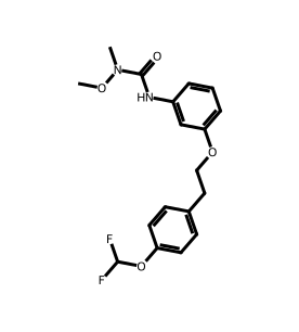 CON(C)C(=O)Nc1cccc(OCCc2ccc(OC(F)F)cc2)c1